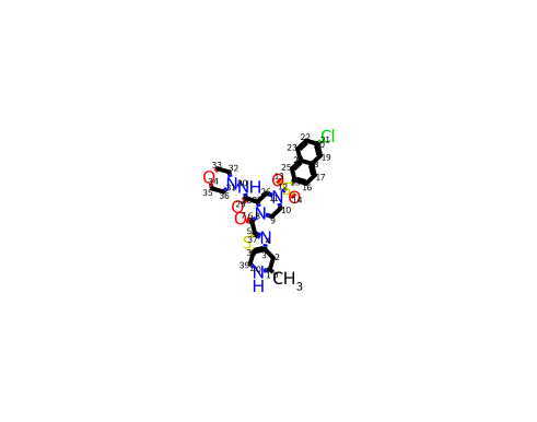 CC1Cc2nc(C(=O)N3CCN(S(=O)(=O)c4ccc5cc(Cl)ccc5c4)CC3C(=O)NN3CCOCC3)sc2CN1